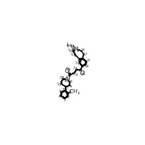 Cc1ccccc1C1CCN(C(=O)CCC(=O)c2ccc3c(c2)CCNCC3)CC1